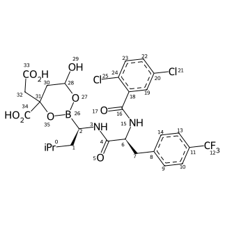 CC(C)C[C@H](NC(=O)[C@H](Cc1ccc(C(F)(F)F)cc1)NC(=O)c1cc(Cl)ccc1Cl)B1OC(O)CC(CC(=O)O)(C(=O)O)O1